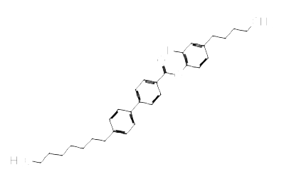 CCCCCCCCc1ccc(-c2ccc(C(=O)Oc3ccc(CCCCC)cc3F)cc2)cc1